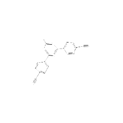 Cc1nc(-c2ccc(C#N)cc2)nc(-c2ccc(C#N)cc2)n1